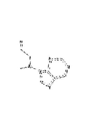 C=CCN(C)n1cnc2cncnc21